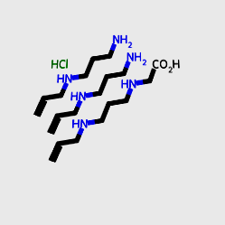 C=CCNCCCN.C=CCNCCCN.C=CCNCCCNCC(=O)O.Cl